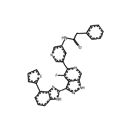 O=C(Cc1ccccc1)Nc1cncc(-c2ncc3[nH]nc(-c4nc5c(-c6cccs6)cccc5[nH]4)c3c2F)c1